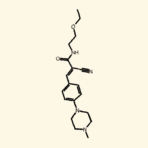 CCOCCNC(=O)/C(C#N)=C/c1ccc(N2CCN(C)CC2)cc1